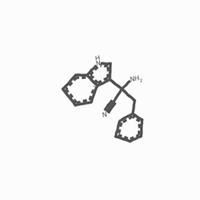 N#CC(N)(Cc1ccccc1)c1c[nH]c2ccccc12